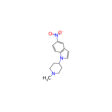 CN1CCC(n2ccc3cc([N+](=O)[O-])ccc32)CC1